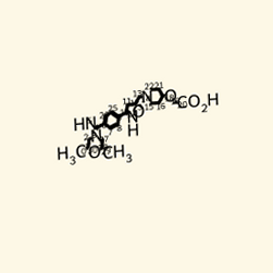 CC1CN(C(=N)c2ccc(C3CC(CN4CCC(OCC(=O)O)CC4)ON3)cc2)CC(C)O1